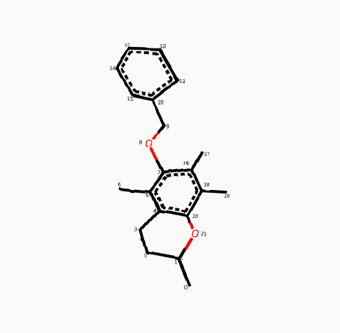 C[C]1CCc2c(C)c(OCc3ccccc3)c(C)c(C)c2O1